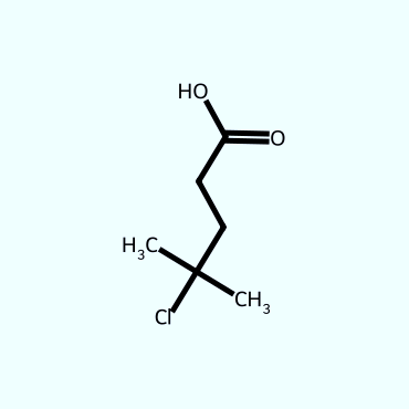 CC(C)(Cl)CCC(=O)O